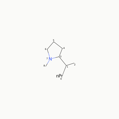 CCCC(C)C1CCCN1C